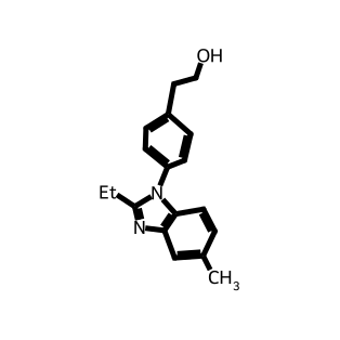 CCc1nc2cc(C)ccc2n1-c1ccc(CCO)cc1